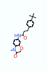 CN1C(=O)COc2cc(NC(=O)CCc3ccc(C(C)(C)C)cc3)ccc21